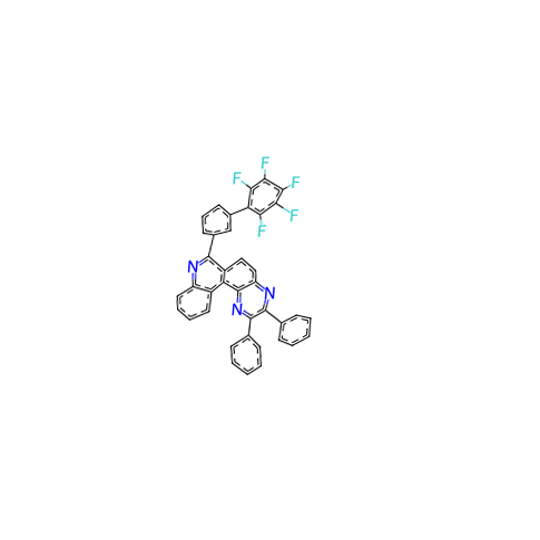 Fc1c(F)c(F)c(-c2cccc(-c3nc4ccccc4c4c3ccc3nc(-c5ccccc5)c(-c5ccccc5)nc34)c2)c(F)c1F